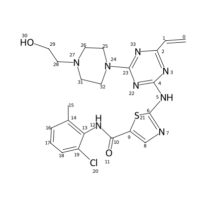 C=Cc1nc(Nc2ncc(C(=O)Nc3c(C)cccc3Cl)s2)nc(N2CCN(CCO)CC2)n1